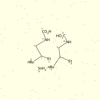 CCCCC(CC)CNC(=O)O.CCCCC(CC)CNC(=O)O.[SnH2]